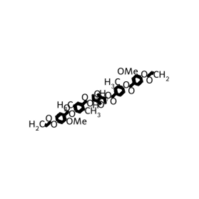 C=CC(=O)Oc1ccc(C(=O)Oc2cc(C)c(C(=O)O[C@@H]3CO[C@H]4[C@@H]3OC[C@H]4OC(=O)c3ccc(OC(=O)c4ccc(OC(=O)C=C)c(OC)c4)c(C)c3)cc2C)c(OC)c1